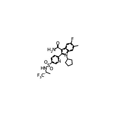 Cc1cc2c(cc1F)c(C(N)=O)c(-c1ccc(S(=O)(=O)N[C@H](C)C(F)(F)F)cn1)n2C1CCCC1